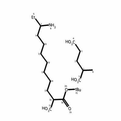 CC(CCC(=O)O)C(=O)O.CCC(N)CCCCCCCC(C(=O)O)C(=O)OC(C)(C)C